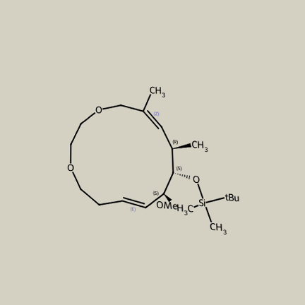 CO[C@H]1/C=C/CCOCCOC/C(C)=C\[C@@H](C)[C@@H]1O[Si](C)(C)C(C)(C)C